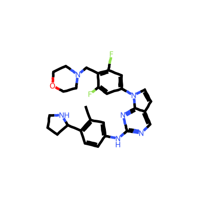 Cc1cc(Nc2ncc3ccn(-c4cc(F)c(CN5CCOCC5)c(F)c4)c3n2)ccc1C1CCCN1